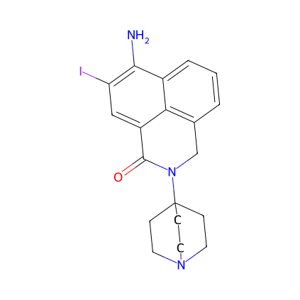 Nc1c(I)cc2c3c(cccc13)CN(C13CCN(CC1)CC3)C2=O